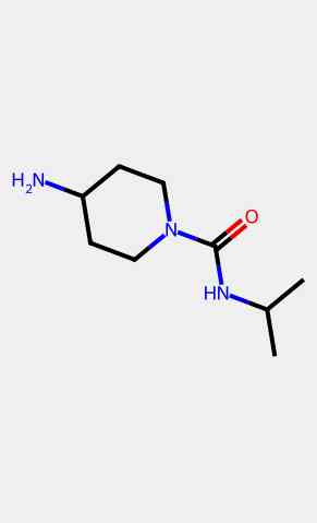 CC(C)NC(=O)N1CCC(N)CC1